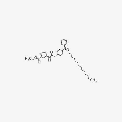 CCCCCCCCCCCCCCON(c1ccccc1)c1ccc(CC(=O)Nc2cccc(C(=O)OCC)c2)cc1